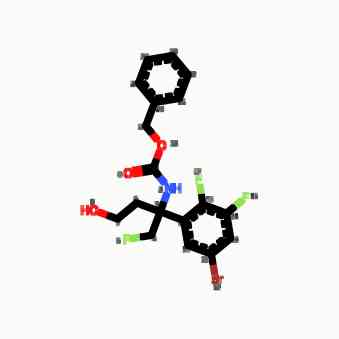 O=C(NC(CF)(CCO)c1cc(Br)cc(F)c1F)OCc1ccccc1